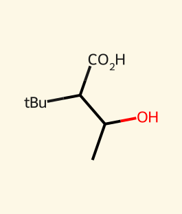 CC(O)C(C(=O)O)C(C)(C)C